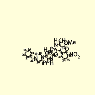 COC(=O)C1=C(C)NC(C)=C(OC(=O)NC(C(=O)N2CCN(Cc3ccccc3)CC2)C(C)C)C1c1cccc([N+](=O)[O-])c1